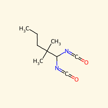 CCCC(C)(C)C(N=C=O)N=C=O